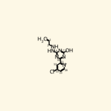 C=CCNNc1nc(O)nc(-c2cc(Cl)ccn2)n1